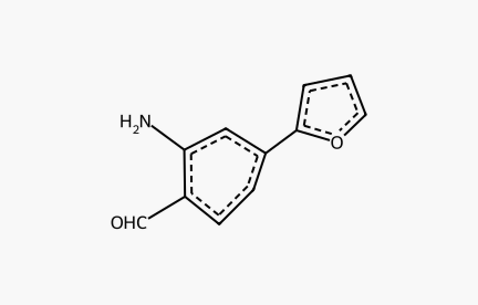 Nc1cc(-c2ccco2)ccc1C=O